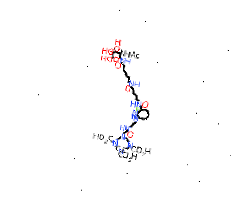 CC(=O)N[C@H]1C(NC(=O)CCCCCCNC(=O)CCCCCNC(=O)C2(F)CCCCCc3c2nnn3CCCNC(=O)CN2CCN(CC(=O)O)CCN(C(=O)O)CCN(CC(=O)O)CC2)O[C@H](O)[C@@H](O)[C@@H]1O